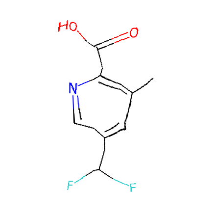 Cc1cc(C(F)F)cnc1C(=O)O